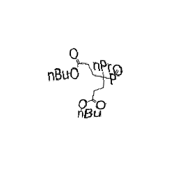 CCCCOC(=O)CCC(CCC)(CCC(=O)OCCCC)P=O